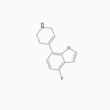 Fc1ccc(C2=CCNCC2)c2occc12